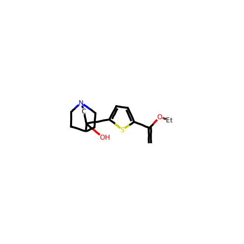 C=C(OCC)c1ccc(C2(O)CN3CCC2CC3)s1